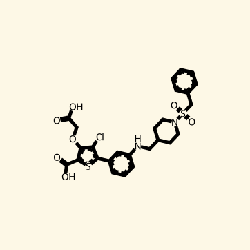 O=C(O)COc1c(C(=O)O)sc(-c2cccc(NCC3CCN(S(=O)(=O)Cc4ccccc4)CC3)c2)c1Cl